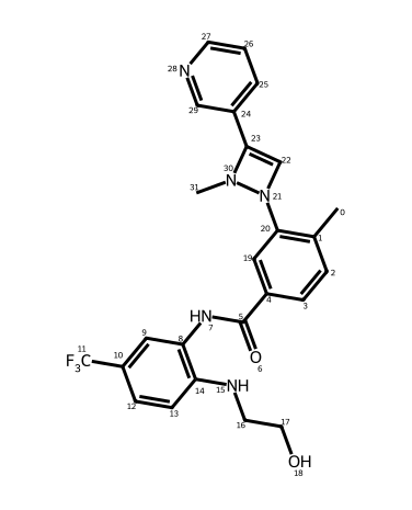 Cc1ccc(C(=O)Nc2cc(C(F)(F)F)ccc2NCCO)cc1-n1cc(-c2cccnc2)n1C